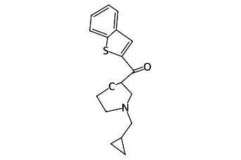 O=C(c1cc2ccccc2s1)C1CCCN(CC2CC2)C1